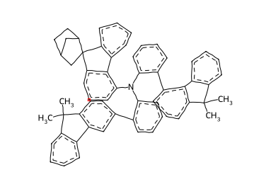 CC1(C)c2ccccc2-c2cc(-c3ccccc3N(c3ccccc3-c3cccc4c3-c3ccccc3C4(C)C)c3cccc4c3-c3ccccc3C43CC4CCC3C4)ccc21